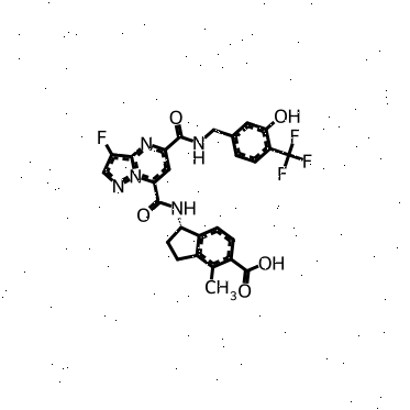 Cc1c(C(=O)O)ccc2c1CC[C@@H]2NC(=O)c1cc(C(=O)NCc2ccc(C(F)(F)F)c(O)c2)nc2c(F)cnn12